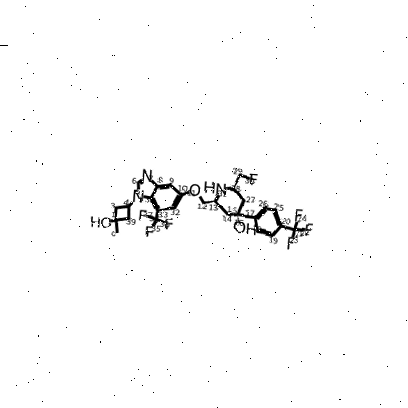 CC1(O)CC(n2cnc3cc(OC[C@@H]4C[C@](O)(c5ccc(C(F)(F)F)cc5)C[C@H](CF)N4)cc(C(F)(F)F)c32)C1